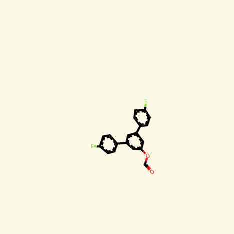 O=COc1cc(-c2ccc(F)cc2)cc(-c2ccc(F)cc2)c1